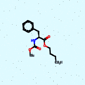 CC(C)(C)OC(=O)N[C@@H](Cc1ccccc1)C(=O)OCCCC(=O)O